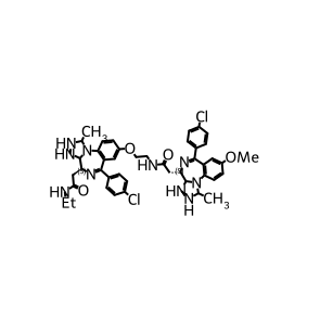 CCNC(=O)C[C@@H]1N=C(c2ccc(Cl)cc2)c2cc(OCCNC(=O)C[C@@H]3N=C(c4ccc(Cl)cc4)c4cc(OC)ccc4N4C(C)NNC34)ccc2N2C(C)NNC12